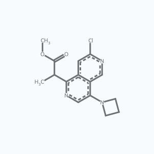 COC(=O)C(C)c1ncc(N2CCC2)c2cnc(Cl)cc12